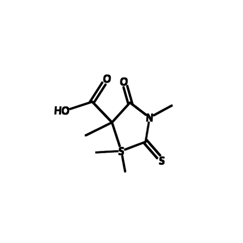 CN1C(=O)C(C)(C(=O)O)S(C)(C)C1=S